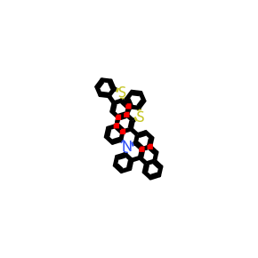 c1cc(-c2ccc3sc4ccccc4c3c2)cc(N(c2ccccc2-c2cccc3ccccc23)c2ccccc2-c2cccc3c2sc2ccccc23)c1